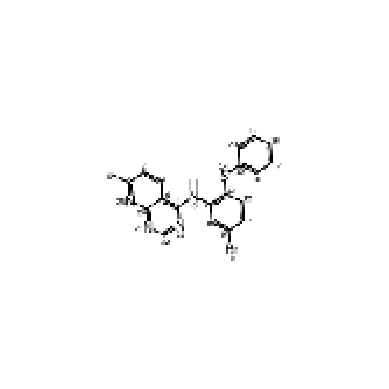 Cc1ccc2c(Nc3cc(Br)ccc3Sc3ccccc3)ncnc2n1